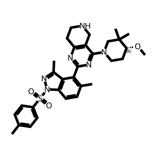 CO[C@@H]1CCN(c2nc(-c3c(C)ccc4c3c(C)nn4S(=O)(=O)c3ccc(C)cc3)nc3c2CNCC3)CC1(C)C